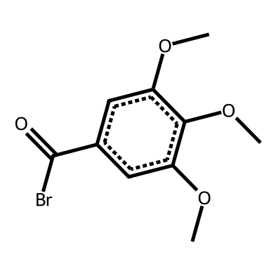 COc1cc(C(=O)Br)cc(OC)c1OC